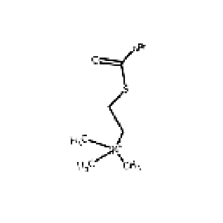 CCCC(=O)SCC[N+](C)(C)C